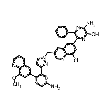 COc1cc(-c2ncc(N)nc2-c2ccn(Cc3cnc4c(Cl)cc(-c5nc(O)c(N)nc5-c5ccccc5)cc4c3)n2)cc2cccnc12